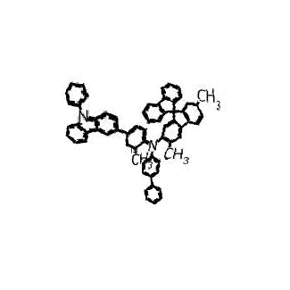 CC1C=CC2=C(C1)C1(C3=CC(N(C4=CC=C(c5ccc6c(c5)c5ccccc5n6-c5ccccc5)C[C@@H]4C)c4ccc(-c5ccccc5)cc4)C(C)C=C32)c2ccccc2-c2ccccc21